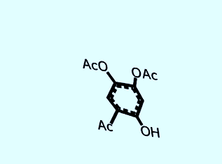 CC(=O)Oc1cc(O)c(C(C)=O)cc1OC(C)=O